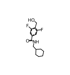 O=C(NCC1CCCCC1)c1cc(F)c(CO)c(F)c1